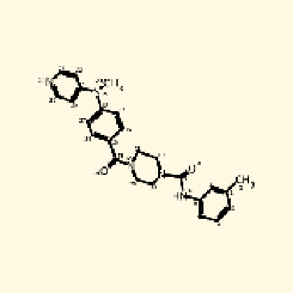 Cc1cccc(NC(=O)N2CCN(C(=O)c3ccc(N(C)c4ccncc4)cc3)CC2)c1